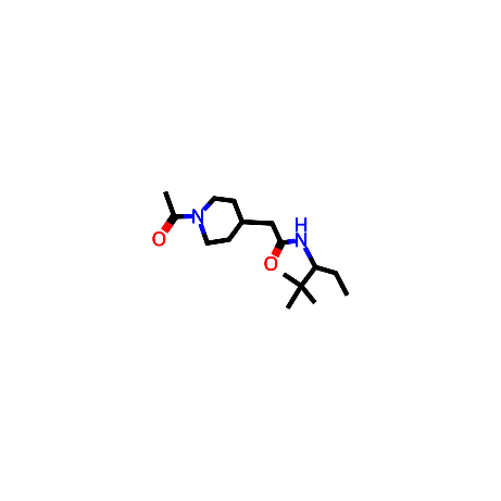 CCC(NC(=O)CC1CCN(C(C)=O)CC1)C(C)(C)C